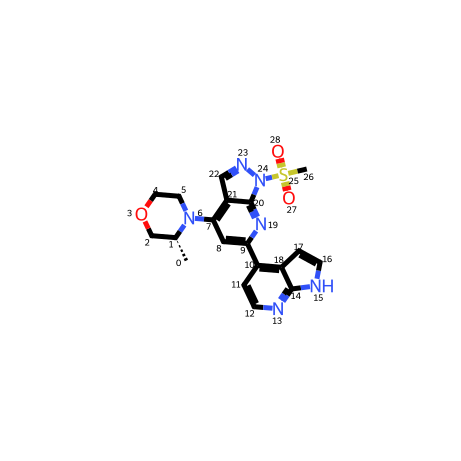 C[C@@H]1COCCN1c1cc(-c2ccnc3[nH]ccc23)nc2c1cnn2S(C)(=O)=O